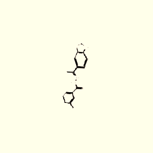 C/C(=N\NC(=O)c1cccc(C)c1)c1ccc2c(c1)OCO2